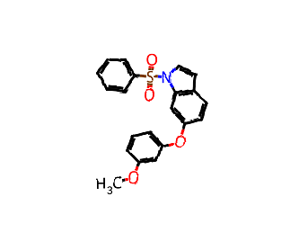 COc1cccc(Oc2ccc3ccn(S(=O)(=O)c4ccccc4)c3c2)c1